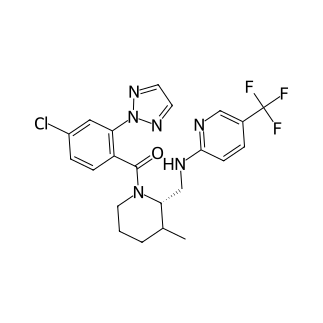 CC1CCCN(C(=O)c2ccc(Cl)cc2-n2nccn2)[C@@H]1CNc1ccc(C(F)(F)F)cn1